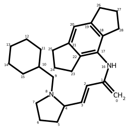 C=C(/C=C/C1CCCN1CC1CCCCC1)Nc1c2c(cc3c1CCC3)CCC2